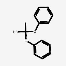 CC(S)(Oc1ccccc1)Oc1ccccc1